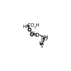 O=C(O)Nc1ccc(-c2cccc(N3CCC(CCNC(=O)OCc4cscn4)CC3)n2)cc1